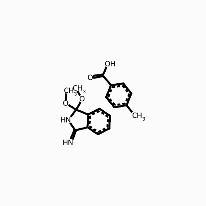 COC1(OC)NC(=N)c2ccccc21.Cc1ccc(C(=O)O)cc1